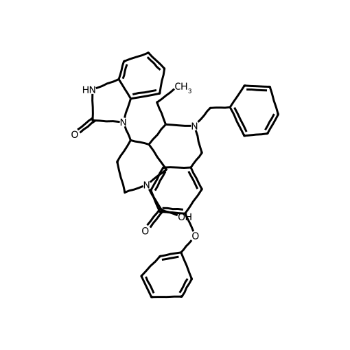 CCC(C1CN(C(=O)O)CCC1n1c(=O)[nH]c2ccccc21)N(Cc1ccccc1)Cc1cccc(Oc2ccccc2)c1